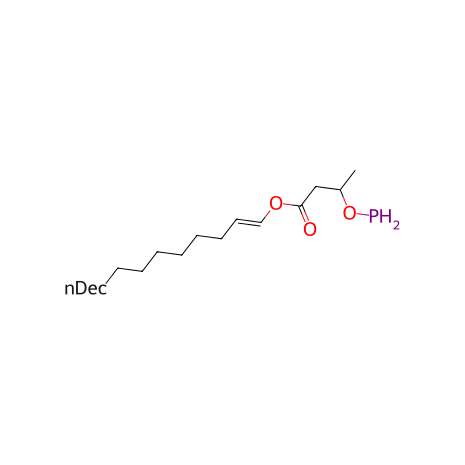 CCCCCCCCCCCCCCCCC=COC(=O)CC(C)OP